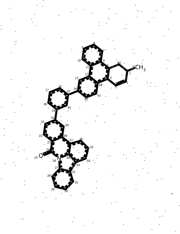 CC1C=Cc2c(c3ccccc3c3cc(-c4cccc(-c5ccc6c(=O)n7c8ccccc8c8cccc(c6c5)c87)c4)ccc23)C1